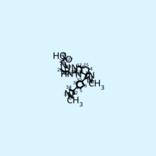 Cn1cc(-c2ccc(-c3c4c(nn3C)CCc3cnc(Nc5ccn(CC(=O)O)n5)nc3-4)cc2)cn1